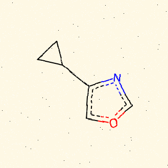 c1nc(C2CC2)co1